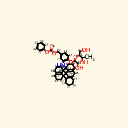 C[C@@H](O)C(CO)OC(CO)Oc1ccc(COC(=O)Oc2ccccc2)cc1NC1(C2(C3(C4(C5CCCCC5)CCCCC4)CCCCC3)CCCCC2)CCCCC1